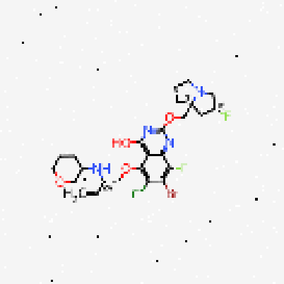 C=C[C@@H](COc1c(Cl)c(Br)c(F)c2nc(OC[C@@]34CCCN3C[C@H](F)C4)nc(O)c12)NC1CCCOC1